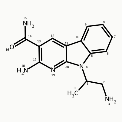 CC(CN)n1c2ccccc2c2cc(C(N)=O)c(N)nc21